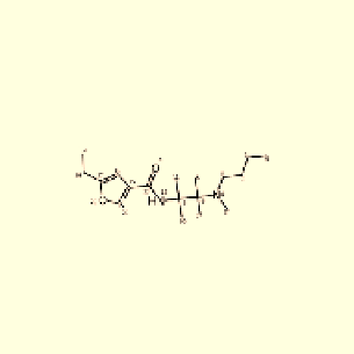 CCCCN(C)C(C)(C)C(C)(C)NC(=O)c1cc(CC)on1